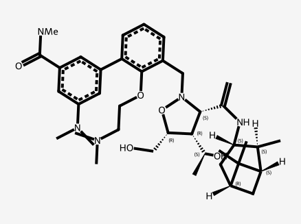 C=C(N[C@H]1C[C@H]2C[C@@H]([C@@H]1C)C2(C)C)[C@@H]1[C@H]([C@H](C)O)[C@H](CO)ON1Cc1cccc(-c2cc(C(=O)NC)cc(N(C)C)c2)c1OCCN(C)C